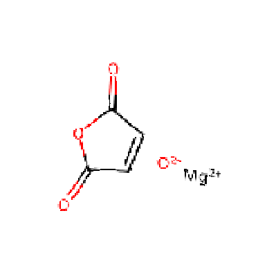 O=C1C=CC(=O)O1.[Mg+2].[O-2]